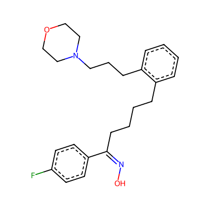 ON=C(CCCCc1ccccc1CCCN1CCOCC1)c1ccc(F)cc1